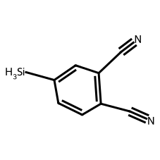 N#Cc1ccc([SiH3])cc1C#N